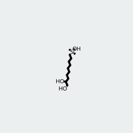 C[Si](C)(O)CCCCCCCCC(O)CO